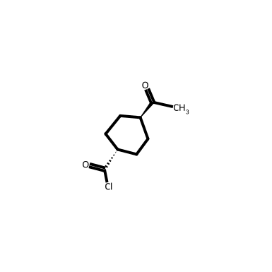 CC(=O)[C@H]1CC[C@H](C(=O)Cl)CC1